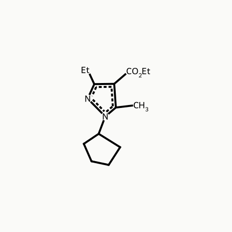 CCOC(=O)c1c(CC)nn(C2CCCC2)c1C